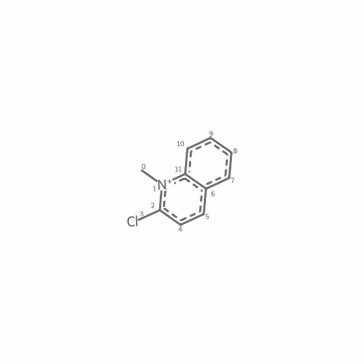 C[n+]1c(Cl)ccc2ccccc21